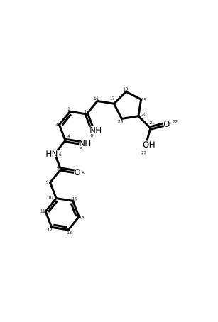 N=C(/C=C\C(=N)NC(=O)Cc1ccccc1)CC1CCC(C(=O)O)C1